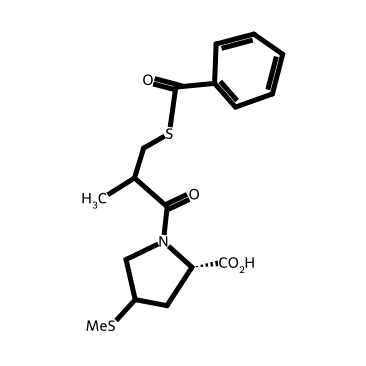 CSC1C[C@@H](C(=O)O)N(C(=O)C(C)CSC(=O)c2ccccc2)C1